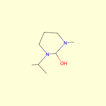 CC(C)N1CCCN(C)C1O